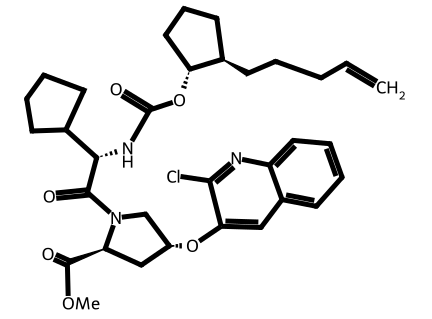 C=CCCC[C@@H]1CCC[C@H]1OC(=O)N[C@H](C(=O)N1C[C@H](Oc2cc3ccccc3nc2Cl)C[C@H]1C(=O)OC)C1CCCC1